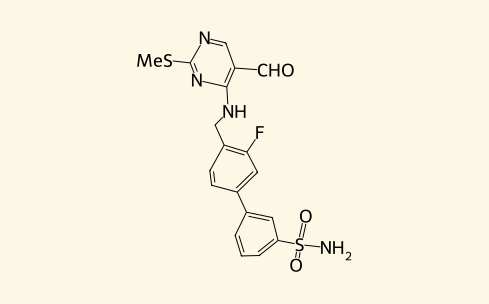 CSc1ncc(C=O)c(NCc2ccc(-c3cccc(S(N)(=O)=O)c3)cc2F)n1